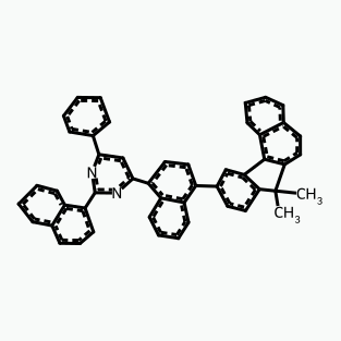 CC1(C)c2ccc(-c3ccc(-c4cc(-c5ccccc5)nc(-c5cccc6ccccc56)n4)c4ccccc34)cc2-c2c1ccc1ccccc21